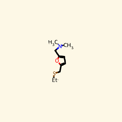 C[CH]SCc1ccc(CN(C)C)o1